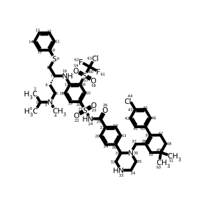 CC(C)N(C)CC[C@H](CSc1ccccc1)Nc1ccc(S(=O)(=O)NC(=O)c2ccc(C3CNCCN3CC3=C(c4ccc(Cl)cc4)CCC(C)(C)C3)cc2)cc1S(=O)(=O)C(F)(F)Cl